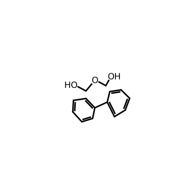 OCOCO.c1ccc(-c2ccccc2)cc1